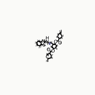 O=C(Oc1ccc(OC(=O)C2CCC(I)CC2)c(/C=N/Nc2nc3ccccc3s2)c1)C1CCC(I)CC1